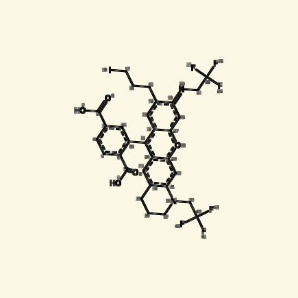 O=C(O)c1ccc(C(=O)O)c(-c2c3cc(CCCI)/c(=N/CC(F)(F)F)cc-3oc3cc4c(cc23)CCCN4CC(F)(F)F)c1